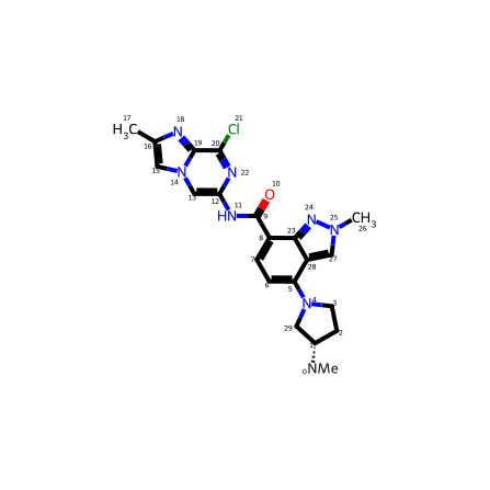 CN[C@H]1CCN(c2ccc(C(=O)Nc3cn4cc(C)nc4c(Cl)n3)c3nn(C)cc23)C1